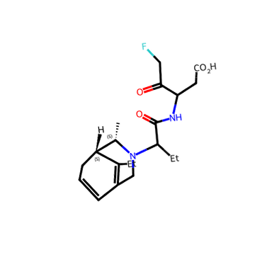 CCC1=C2C=CC[C@@H]1[C@H](C)N(C(CC)C(=O)NC(CC(=O)O)C(=O)CF)C2